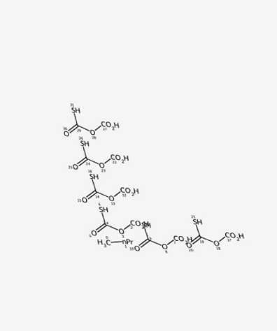 CCCC.O=C(O)OC(=O)S.O=C(O)OC(=O)S.O=C(O)OC(=O)S.O=C(O)OC(=O)S.O=C(O)OC(=O)S.O=C(O)OC(=O)S